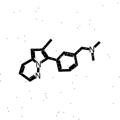 Cc1cc2cccnn2c1-c1cccc(CN(C)C)c1